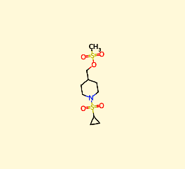 CS(=O)(=O)OCC1CCN(S(=O)(=O)C2CC2)CC1